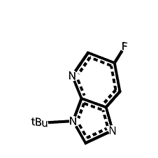 CC(C)(C)n1cnc2cc(F)cnc21